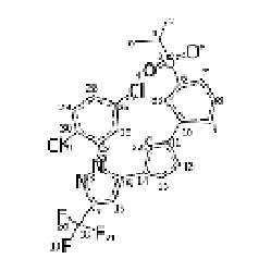 CC(C)S(=O)(=O)c1cccc(-c2ccc(-c3cc(C(F)(F)F)nn3-c3cc(Cl)ccc3Cl)s2)c1